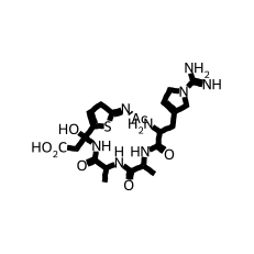 CC(=O)N=C1CC=C(C(O)(CC(=O)O)NC(=O)C(C)NC(=O)C(C)NC(=O)C(N)CC2=CCN(C(=N)N)C2)S1